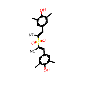 Cc1cc(/C=C(\C#N)S(=O)(=O)/C(C#N)=C/c2cc(C)c(O)c(C)c2)cc(C)c1O